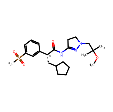 COC(C)(C)CN1CCC(NC(=O)[C@H](CC2CCCC2)c2cccc(S(C)(=O)=O)c2)=N1